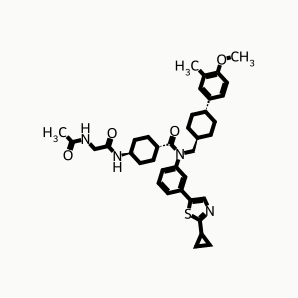 COc1ccc([C@H]2CC[C@H](CN(c3cccc(-c4cnc(C5CC5)s4)c3)C(=O)[C@H]3CC[C@H](NC(=O)CNC(C)=O)CC3)CC2)cc1C